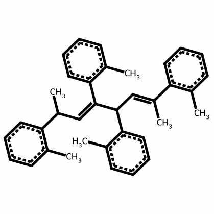 CC(=CC(C(=CC(C)c1ccccc1C)c1ccccc1C)c1ccccc1C)c1ccccc1C